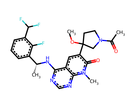 COC1(c2cc3c(N[C@H](C)c4cccc(C(F)F)c4F)ncnc3n(C)c2=O)CCN(C(C)=O)C1